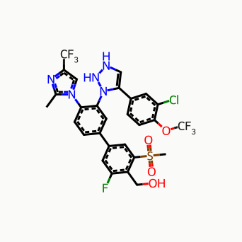 Cc1nc(C(F)(F)F)cn1-c1ccc(-c2cc(F)c(CO)c(S(C)(=O)=O)c2)cc1N1NNC=C1c1ccc(OC(F)(F)F)c(Cl)c1